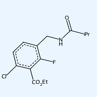 CCOC(=O)c1c(Cl)ccc(CNC(=O)C(C)C)c1F